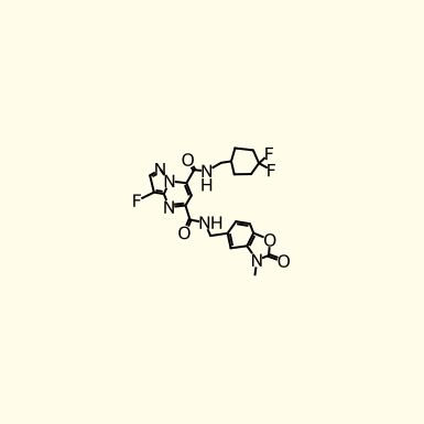 Cn1c(=O)oc2ccc(CNC(=O)c3cc(C(=O)NCC4CCC(F)(F)CC4)n4ncc(F)c4n3)cc21